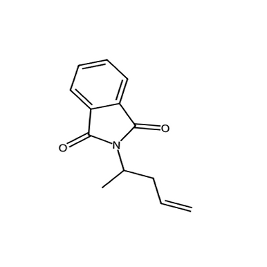 C=CCC(C)N1C(=O)c2ccccc2C1=O